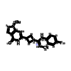 CC(C)(C)n1ncc2c(=O)[nH]c(C3CN(/C(=N/C#N)Nc4ccc(F)cc4)C3)nc21